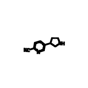 N#Cc1ccc(C2CCNC2)cn1